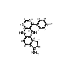 Cc1ccc(-c2ncnc(Nc3ccc4c(c3)CCC4N)c2O)cc1